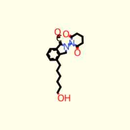 O=C=C1c2cccc(CCCCCCO)c2CN1N1C(=O)CCCC1=O